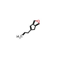 C=CCC1=Cc2cocc2C1